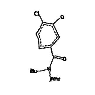 CCCC(C)N(C(=O)c1ccc(Cl)c(Cl)c1)C(C)CC